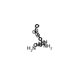 NC(=O)c1ccc(N2CCC[C@@H](N)C2)nc1Nc1ccc(N2CCN(C(=O)OCc3ccccc3)CC2)cc1